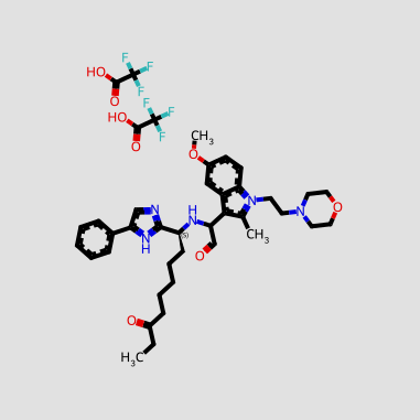 CCC(=O)CCCCC[C@H](NC(C=O)c1c(C)n(CCN2CCOCC2)c2ccc(OC)cc12)c1ncc(-c2ccccc2)[nH]1.O=C(O)C(F)(F)F.O=C(O)C(F)(F)F